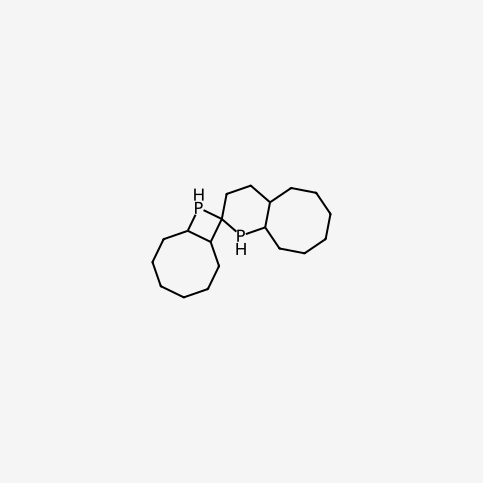 C1CCCC2PC3(CCC2CC1)PC1CCCCCCC13